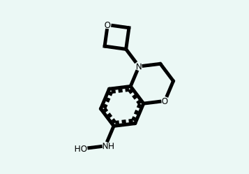 ONc1ccc2c(c1)OCCN2C1COC1